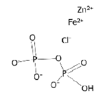 O=P([O-])([O-])OP(=O)([O-])O.[Cl-].[Fe+2].[Zn+2]